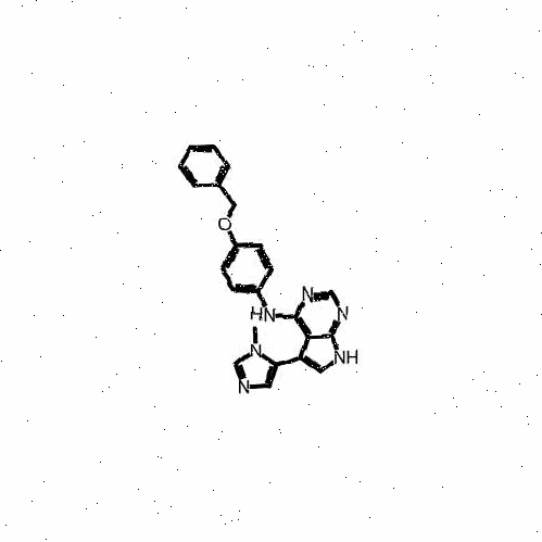 Cn1cncc1-c1c[nH]c2ncnc(Nc3ccc(OCc4ccccc4)cc3)c12